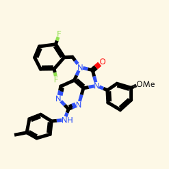 COc1cccc(-n2c(=O)n(Cc3c(F)cccc3F)c3cnc(Nc4ccc(C)cc4)nc32)c1